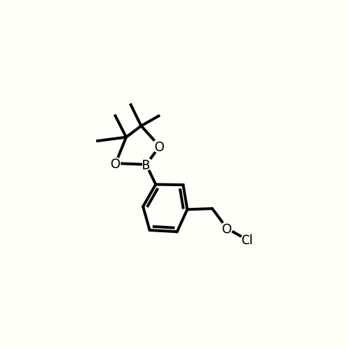 CC1(C)OB(c2cccc(COCl)c2)OC1(C)C